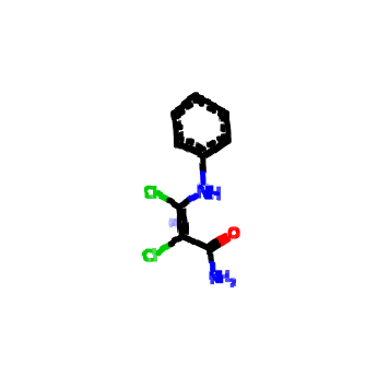 NC(=O)/C(Cl)=C(/Cl)Nc1ccccc1